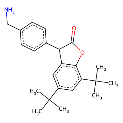 CC(C)(C)c1cc2c(c(C(C)(C)C)c1)OC(=O)C2c1ccc(CN)cc1